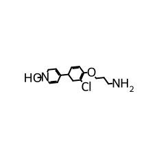 NCCCOC1=C(Cl)CC(C2=CCN(O)C=C2)C=C1